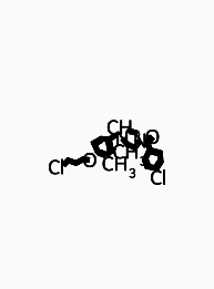 Cc1c(OCCCCl)ccc(C(C)N2CCN(C(=O)c3ccc(Cl)cc3)CC2)c1C